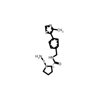 Cc1ncsc1-c1ccc(CNC(=O)[C@@H]2CCC[N]2[Y][NH2])cc1